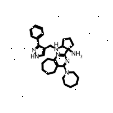 NC1(c2nc3c(c(N4CCCCCC4)n2)CCCCC3)CCCC1NCc1c[nH]nc1-c1ccccc1